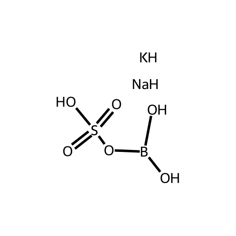 O=S(=O)(O)OB(O)O.[KH].[NaH]